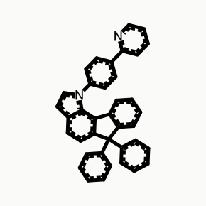 c1ccc(C2(c3ccccc3)c3ccccc3-c3c2ccc2ccn(-c4ccc(-c5ccccn5)cc4)c32)cc1